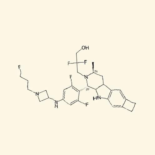 C[C@H]1CC2c3cc4c(cc3NC2[C@H](c2c(F)cc(NC3CN(CCCF)C3)cc2F)N1CC(F)(F)CO)CC4